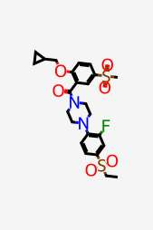 CCS(=O)(=O)c1ccc(N2CCN(C(=O)c3cc(S(C)(=O)=O)ccc3OCC3CC3)CC2)c(F)c1